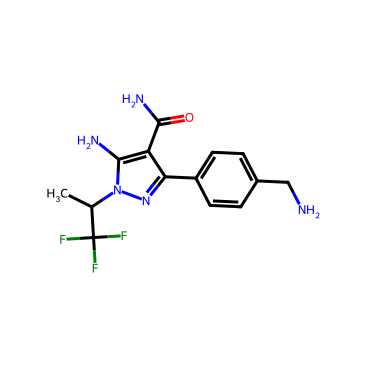 CC(n1nc(-c2ccc(CN)cc2)c(C(N)=O)c1N)C(F)(F)F